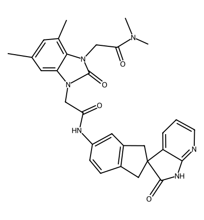 Cc1cc(C)c2c(c1)n(CC(=O)Nc1ccc3c(c1)CC1(C3)C(=O)Nc3ncccc31)c(=O)n2CC(=O)N(C)C